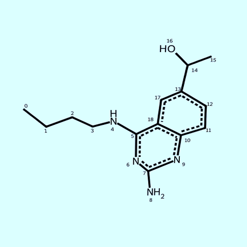 CCCCNc1nc(N)nc2ccc(C(C)O)cc12